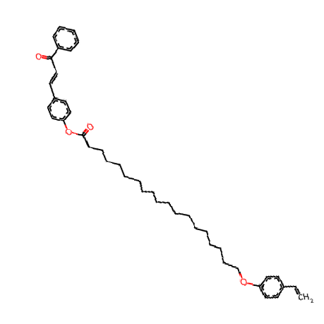 C=Cc1ccc(OCCCCCCCCCCCCCCCCCCC(=O)Oc2ccc(C=CC(=O)c3ccccc3)cc2)cc1